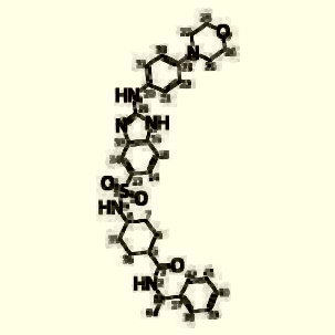 C[C@@H](NC(=O)C1CCC(NS(=O)(=O)c2ccc3[nH]c(Nc4ccc(N5CCOCC5)cc4)nc3c2)CC1)c1ccccc1